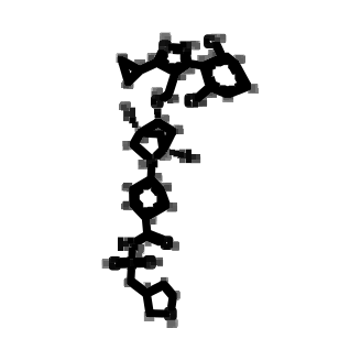 O=C(NS(=O)(=O)CC1CCOC1)c1ccc(N2C[C@@H]3C[C@H]2C[C@H]3OCc2c(-c3c(Cl)cccc3Cl)noc2C2CC2)cc1